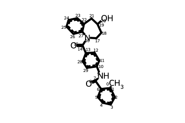 Cc1ccccc1C(=O)Nc1ccc(C(=O)N2CCC(O)Cc3ccccc32)cc1